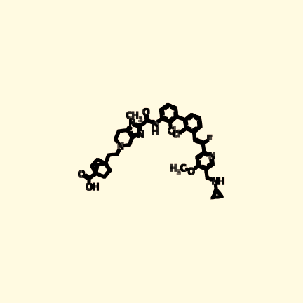 COc1cc(/C(F)=C/c2cccc(-c3cccc(NC(=O)c4nc5c(n4C)CCN(CCC46CCC(C(=O)O)(CC4)C6)C5)c3Cl)c2Cl)ncc1CNC1CC1